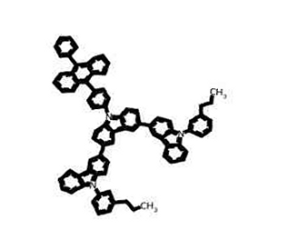 CCCc1cccc(-n2c3ccccc3c3cc(-c4ccc5c(c4)c4cc(-c6ccc7c(c6)c6ccccc6n7-c6cccc(CCC)c6)ccc4n5-c4ccc(-c5c6ccccc6c(-c6ccccc6)c6ccccc56)cc4)ccc32)c1